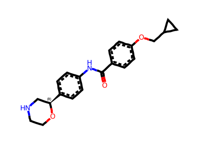 O=C(Nc1ccc([C@@H]2CNCCO2)cc1)c1ccc(OCC2CC2)cc1